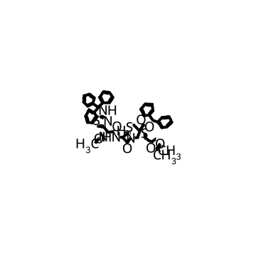 CON=C(C(=O)NC1C(=O)N2CC(SCC3COC(C)(C)O3)(C(=O)OC(c3ccccc3)c3ccccc3)CS[C@H]12)c1csc(NC(c2ccccc2)(c2ccccc2)c2ccccc2)n1